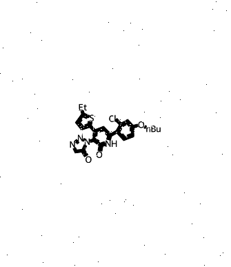 CCCCOc1ccc(-c2cc(-c3ccc(CC)s3)c(N3N=NCC3=O)c(=O)[nH]2)c(Cl)c1